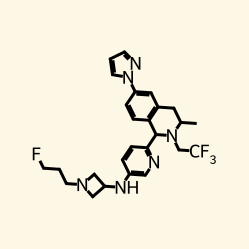 CC1Cc2cc(-n3cccn3)ccc2C(c2ccc(NC3CN(CCCF)C3)cn2)N1CC(F)(F)F